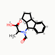 CC(C(=O)O)N(C=O)C1c2ccccc2C2CCCC21